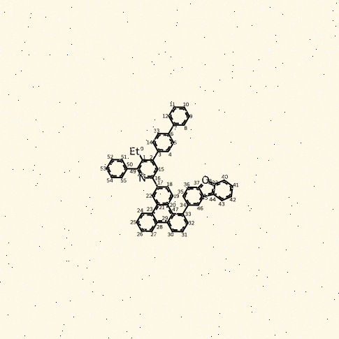 CCc1c(-c2ccc(-c3ccccc3)cc2)cc(-c2ccc3c(c2)c2ccccc2c2cccc(-c4ccc5oc6ccccc6c5c4)c23)nc1-c1ccccc1